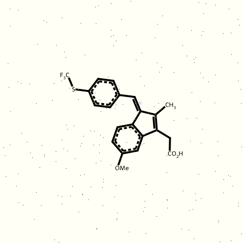 COc1ccc2c(c1)C(CC(=O)O)=C(C)/C2=C/c1ccc(SC(F)(F)F)cc1